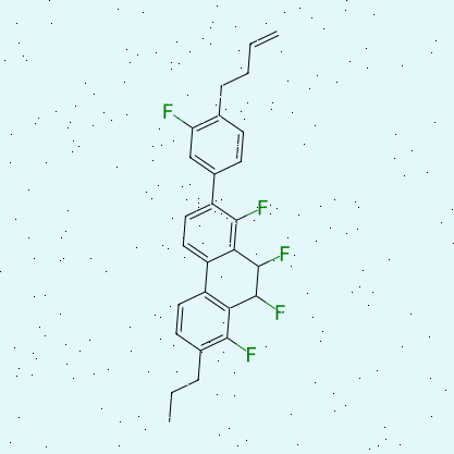 C=CCCc1ccc(-c2ccc3c(c2F)C(F)C(F)c2c-3ccc(CCC)c2F)cc1F